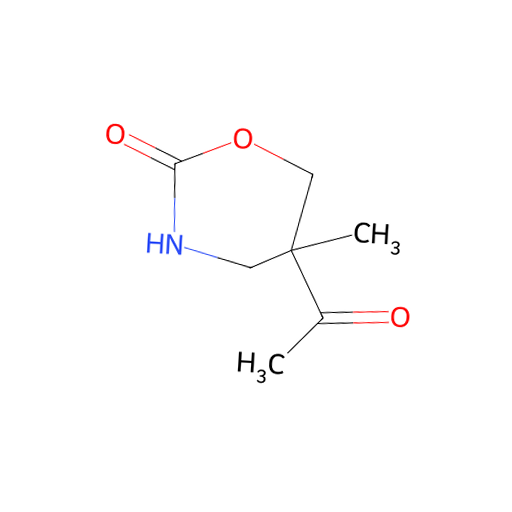 CC(=O)C1(C)CNC(=O)OC1